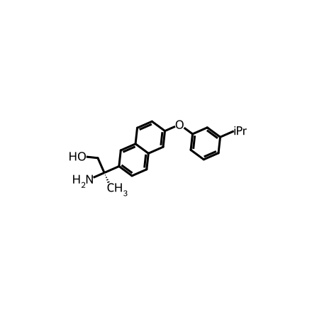 CC(C)c1cccc(Oc2ccc3cc([C@@](C)(N)CO)ccc3c2)c1